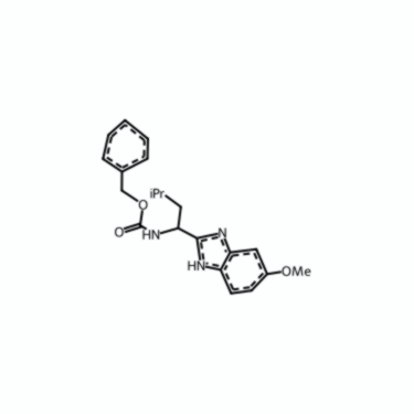 COc1ccc2[nH]c(C(CC(C)C)NC(=O)OCc3ccccc3)nc2c1